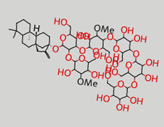 C=C1C[C@@]23CCC4C(C)(C)CCC[C@@]4(C)[C@@H]2CC[C@]1(OC1OC(CO)C(O)C(OC2OC(CO)C(OC4OC(CO)C(OC5OC(CO)C(OC6OC(CO)C(O)C(O)C6O)C(O)C5O)C(O)C4O)C(OC)C2O)C1OC1OC(CO)C(O)C(OC)C1O)C3